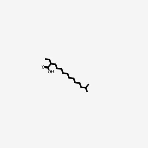 CCC(CCCCCCCCCCC(C)C)C(=O)O